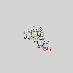 O=C1Nc2ccccc2SC1(Cl)c1ccc(O)cc1